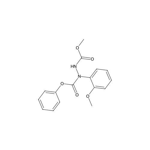 COC(=O)NN(C(=O)Oc1ccccc1)c1ccccc1OC